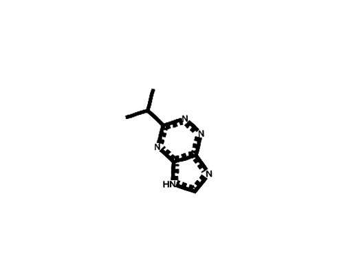 CC(C)c1nnc2nc[nH]c2n1